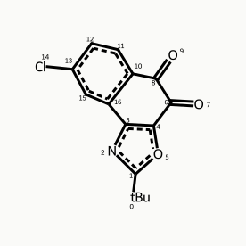 CC(C)(C)c1nc2c(o1)C(=O)C(=O)c1ccc(Cl)cc1-2